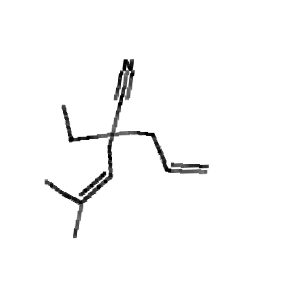 C=CCC(C#N)(C=C(C)C)CC